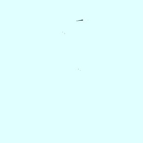 CCOCCCN1CCC(N2CCC[C@H]2O)CC1